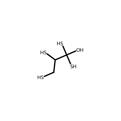 OC(S)(S)C(S)CS